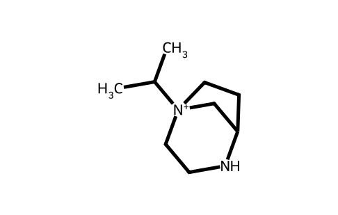 CC(C)[N+]12CCNC(CC1)C2